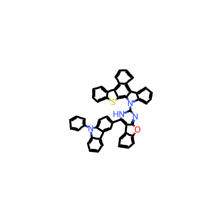 c1ccc(-n2c3ccccc3c3cc(C4=c5c(oc6ccccc56)=NC(n5c6ccccc6c6c7ccccc7c7c8ccccc8sc7c65)N4)ccc32)cc1